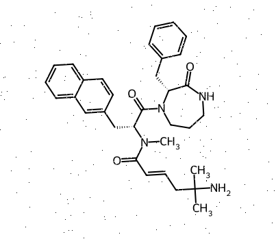 CN(C(=O)/C=C/CC(C)(C)N)[C@H](Cc1ccc2ccccc2c1)C(=O)N1CCCNC(=O)[C@H]1Cc1ccccc1